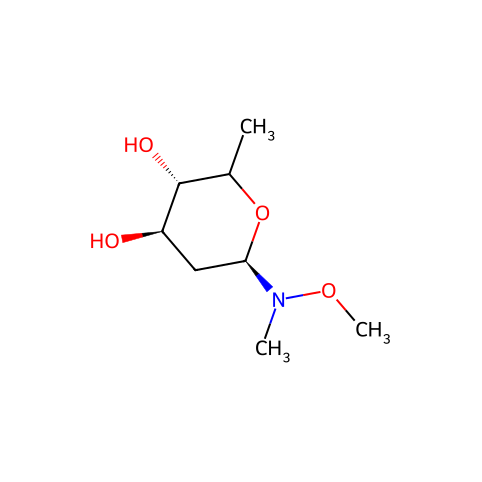 CON(C)[C@H]1C[C@@H](O)[C@H](O)C(C)O1